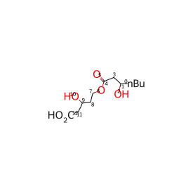 CCCCC(O)CC(=O)OCCC(O)CC(=O)O